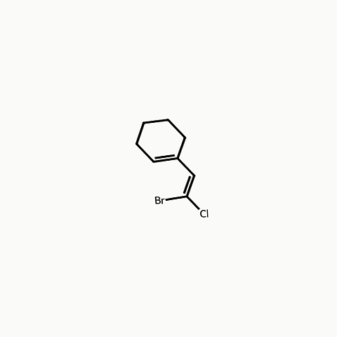 ClC(Br)=CC1=CCCCC1